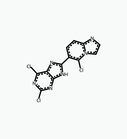 Clc1nc(Cl)c2nc(-c3ccc4nccn4c3Cl)[nH]c2n1